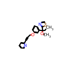 CCC(OC)(c1cccc(OCC#Cc2ccccn2)c1)c1nccs1